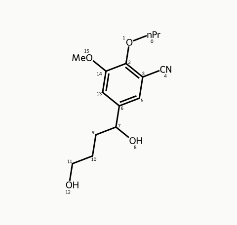 CCCOc1c(C#N)cc(C(O)CCCO)cc1OC